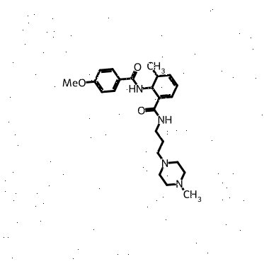 COc1ccc(C(=O)NC2C(C(=O)NCCCN3CCN(C)CC3)=CC=CC2C)cc1